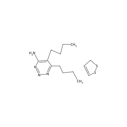 C1=CSSC1.CCCCc1nnnc(N)c1CCCC